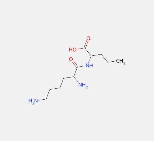 CCCC(NC(=O)C(N)CCCCN)C(=O)O